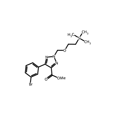 COC(=O)c1nn(COCC[Si](C)(C)C)nc1-c1cccc(Br)c1